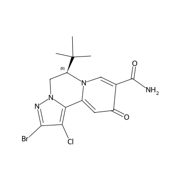 CC(C)(C)[C@@H]1Cn2nc(Br)c(Cl)c2-c2cc(=O)c(C(N)=O)cn21